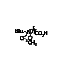 Cc1ccc([C@@H]2[C@@H](CC(=O)O)C(F)(F)CCN2[C@H](CCC(C)(C)C)CCC(F)(F)F)cc1